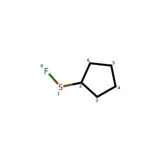 FSC1CCCC1